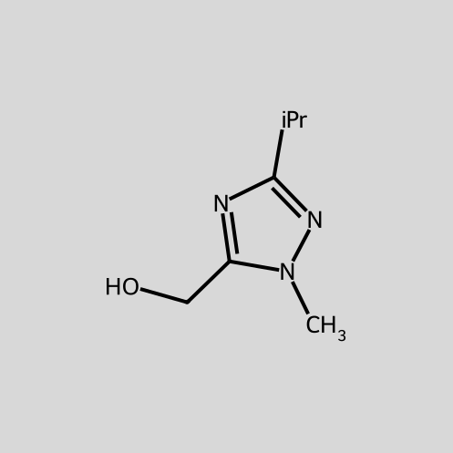 CC(C)c1nc(CO)n(C)n1